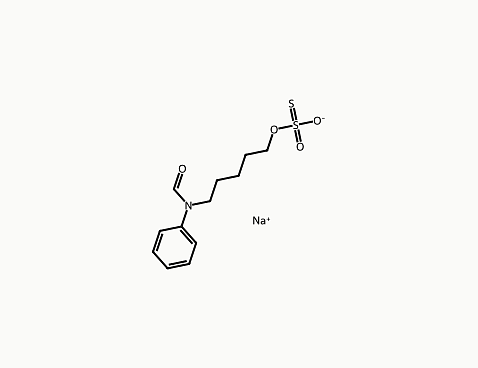 O=CN(CCCCCOS(=O)([O-])=S)c1ccccc1.[Na+]